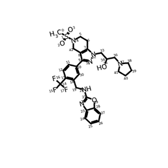 CS(=O)(=O)N1CCc2c(c(-c3ccc(C(F)(F)F)c(CNc4nc5ccccc5o4)c3)nn2CC(O)CN2CCCC2)C1